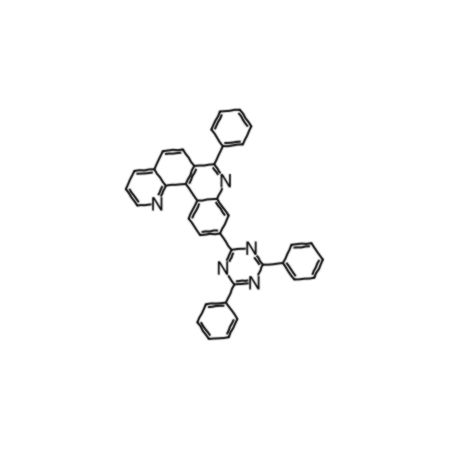 c1ccc(-c2nc(-c3ccccc3)nc(-c3ccc4c(c3)nc(-c3ccccc3)c3ccc5cccnc5c34)n2)cc1